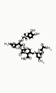 Cc1cc(SCC2=C(C(=O)O)N3C(=O)[C@@H](NC(=O)/C(=N\OCS(=O)(=O)c4ccc(O)c(O)c4)c4csc(N)n4)[C@H]3SC2)n2nc(C(N)=O)nc2n1